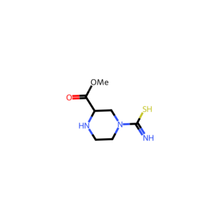 COC(=O)C1CN(C(=N)S)CCN1